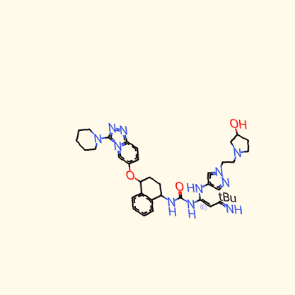 CC(C)(C)C(=N)/C=C(/NC(=O)NC1CCC(Oc2ccc3nnc(N4CCCCC4)n3c2)c2ccccc21)Nc1cnn(CCN2CCC(O)C2)c1